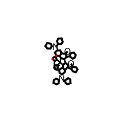 c1ccc(N(c2ccccc2)c2ccc3c4c(c5c6ccccc6oc5c3c2)-c2c(c3ccc(N(c5ccccc5)c5ccccc5)cc3c3c2oc2ccccc23)C42c3ccccc3-c3ccccc32)cc1